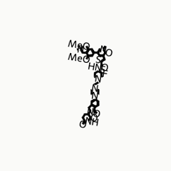 COc1cc(-c2cn(C)c(=O)c3cc(C(=O)NC4CCN(CCN5CCN(c6ccc7c(c6)CN(C6CCC(=O)NC6=O)C7=O)CC5)CC4(F)F)sc23)cc(OC)c1CN(C)C